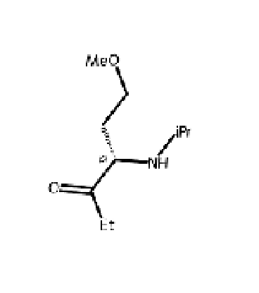 CCC(=O)[C@H](CCOC)NC(C)C